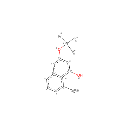 CSc1cccc2cc(O[Si](C(C)C)(C(C)C)C(C)C)cc(O)c12